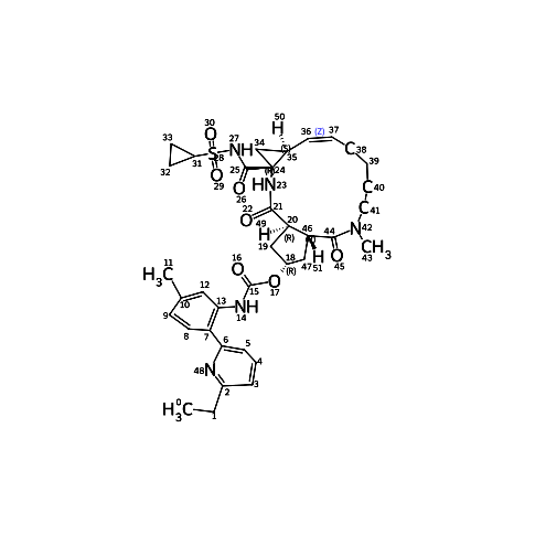 CCc1cccc(-c2ccc(C)cc2NC(=O)O[C@@H]2C[C@H]3C(=O)N[C@]4(C(=O)NS(=O)(=O)C5CC5)C[C@H]4/C=C\CCCCN(C)C(=O)[C@@H]3C2)n1